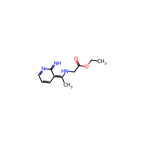 CCOC(=O)CN/C(C)=C1/C=CC=NC1=N